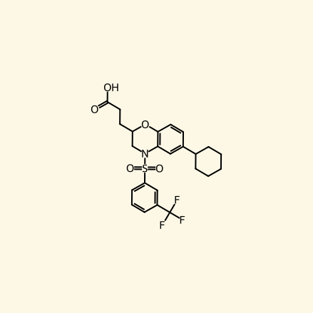 O=C(O)CCC1CN(S(=O)(=O)c2cccc(C(F)(F)F)c2)c2cc(C3CCCCC3)ccc2O1